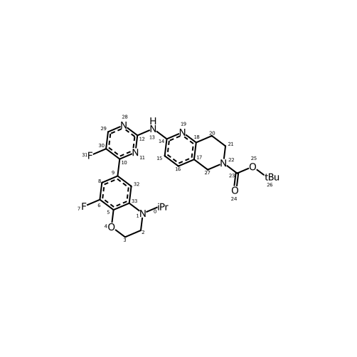 CC(C)N1CCOc2c(F)cc(-c3nc(Nc4ccc5c(n4)CCN(C(=O)OC(C)(C)C)C5)ncc3F)cc21